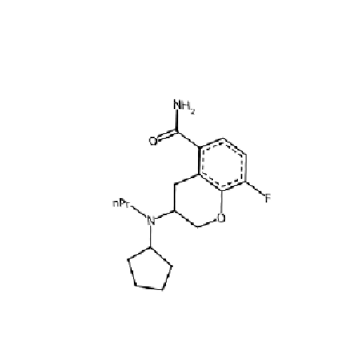 CCCN(C1CCCC1)C1COc2c(F)ccc(C(N)=O)c2C1